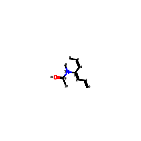 C=C/C=C(\C=C/C)N(C)C(C)=O